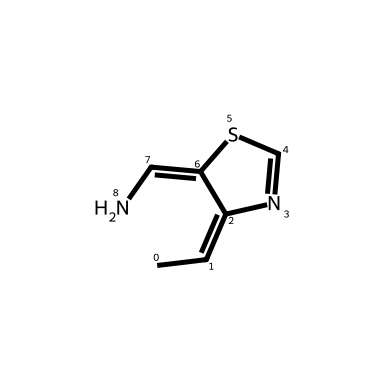 C/C=c1/ncs/c1=C/N